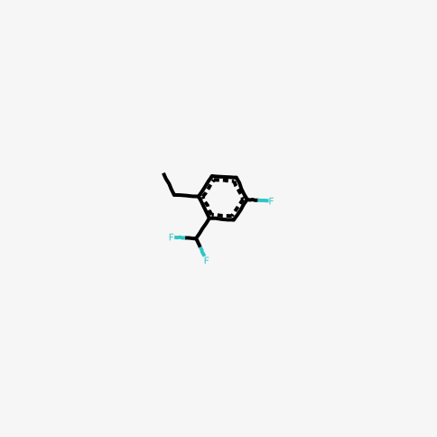 CCc1ccc(F)cc1C(F)F